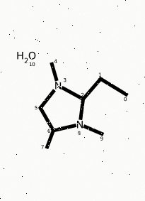 CCC1N(C)CC(C)N1C.O